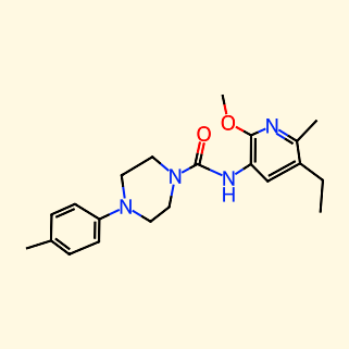 CCc1cc(NC(=O)N2CCN(c3ccc(C)cc3)CC2)c(OC)nc1C